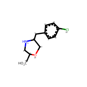 O=C(O)C1CNC(Cc2ccc(Cl)cc2)CO1